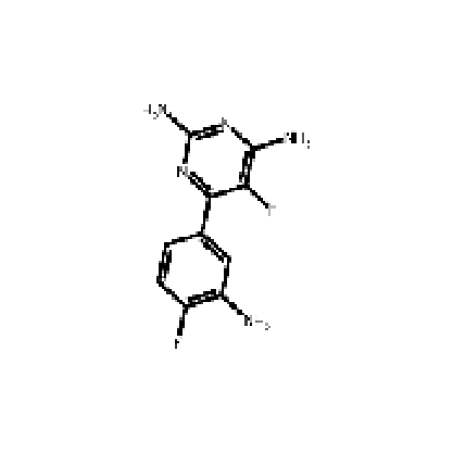 Nc1nc(N)c(F)c(-c2ccc(F)c(N)c2)n1